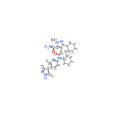 CCn1ncc([C@@H](C(=O)Nc2ccc(-c3c(C)n[nH]c3C)c(C)n2)C(C2CCCCC2)C2CCCCC2)c1C(N)=O